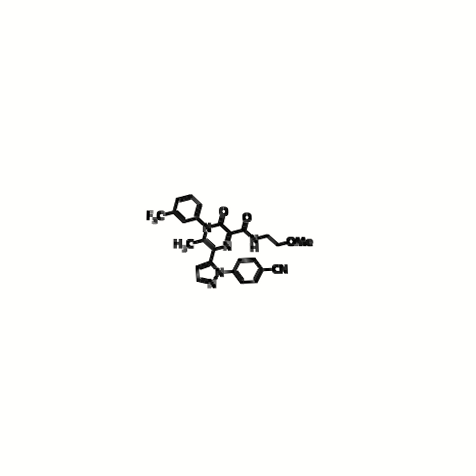 COCCNC(=O)c1nc(-c2ccnn2-c2ccc(C#N)cc2)c(C)n(-c2cccc(C(F)(F)F)c2)c1=O